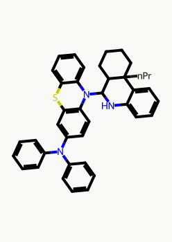 CCCC12CCCCC1C(N1c3ccccc3Sc3cc(N(c4ccccc4)c4ccccc4)ccc31)Nc1ccccc12